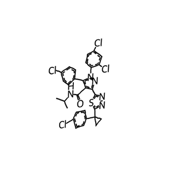 CC(C)NC(=O)c1c(-c2nnc(C3(c4ccc(Cl)cc4)CC3)s2)nn(-c2ccc(Cl)cc2Cl)c1-c1ccc(Cl)cc1